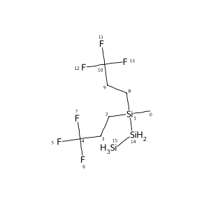 C[Si](CCC(F)(F)F)(CCC(F)(F)F)[SiH2][SiH3]